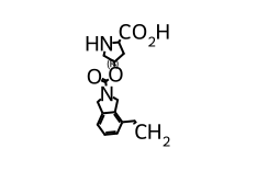 C=Cc1cccc2c1CN(C(=O)O[C@H]1CNC(C(=O)O)C1)C2